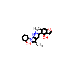 Cc1cc2occc2c(O)c1-c1cc2c(C)cn([C@@H]3CCCC[C@H]3O)c2nn1